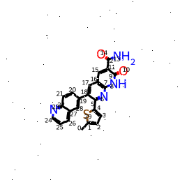 Cc1ccc(-c2nc3[nH]c(=O)c(C(N)=O)cc3cc2-c2ccc3ncccc3c2)s1